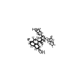 C=C1CN2CCCC2(COc2nc(N3C=C4CNCC4C3)c3cnc(-c4cc(O)cc5ccc(F)c(CC)c45)c(F)c3n2)C1